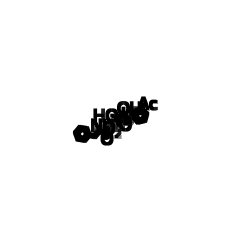 CC(=O)c1ccc[n+]([C@@H]2O[C@H](COC(=O)[C@@H](N)Cc3ccccc3)[C@@H](O)[C@H]2O)c1